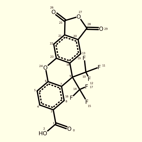 O=C(O)c1ccc2c(c1)C(C(F)(F)F)(C(F)(F)F)c1cc3c(cc1O2)C(=O)OC3=O